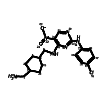 NCC1CCC(CNc2nc(Nc3ccc(Cl)cc3)ncc2[N+](=O)[O-])CC1